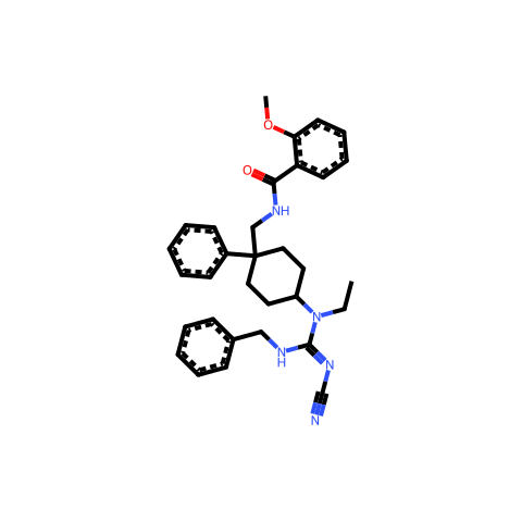 CCN(/C(=N/C#N)NCc1ccccc1)C1CCC(CNC(=O)c2ccccc2OC)(c2ccccc2)CC1